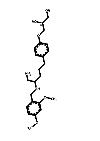 COc1ccc(CNC(CN)CCCc2ccc(OC[C@@H](O)CO)cc2)c(OC)c1